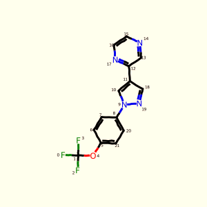 FC(F)(F)Oc1ccc(-n2cc(-c3cnccn3)cn2)cc1